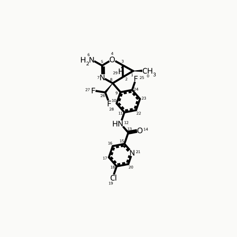 C[C@H]1C2[C@H]1OC(N)=N[C@]2(c1cc(NC(=O)c2ccc(Cl)cn2)ccc1F)C(F)F